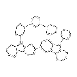 c1ccc(-c2cccc(-c3cccc(-n4c5ccccc5c5ccc(-c6ccc7c(c6)c6ccccc6n7-c6ccccc6)cc54)c3)c2)cc1